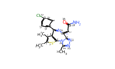 Cc1sc2c(c1C)C(c1ccc(Cl)cc1)=N/C(=C\C(N)=O)c1nnc(C)n1-2